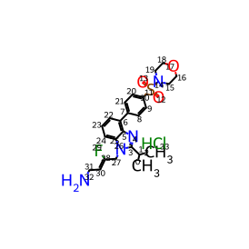 CC(C)c1nc2c(-c3ccc(S(=O)(=O)N4CCOCC4)cc3)cccc2n1C/C(F)=C/CN.Cl